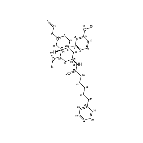 C=CCN1CC[C@@]2(c3cccc(OC)c3)C[C@@H](NC(=O)CCCCCc3ccccc3)CC(OC)[C@@H]2C1